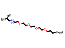 CCCC(C)CCCOCCOCCOCCOCCNCC(CC)CCC